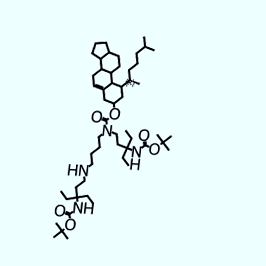 CCC(CC)(CCNCCCCN(CCC(CC)(CC)NC(=O)OC(C)(C)C)C(=O)OC1CC2=CCC3C4CCCC4CCC3C2C([C@H](C)CCCC(C)C)C1)NC(=O)OC(C)(C)C